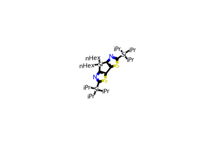 CCCCCC[Si]1(CCCCCC)c2nc([Si](C(C)C)(C(C)C)C(C)C)sc2-c2sc([Si](C(C)C)(C(C)C)C(C)C)nc21